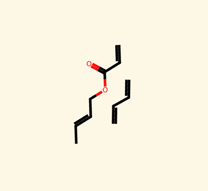 C=CC(=O)OCC=CC.C=CC=C